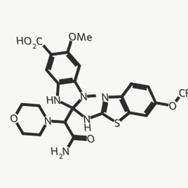 COc1cc2c(cc1C(=O)O)NC(Nc1nc3ccc(OC(F)(F)F)cc3s1)(C(C(N)=O)N1CCOCC1)N2C